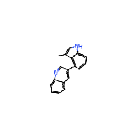 Cc1c[nH]c2cccc(-c3cnc4ccccc4c3)c12